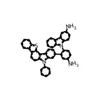 Nc1ccc(-n2c3ccccc3c3cc(N)ccc32)c(-c2ccc3c4c5sc6ccccc6c5ccc4n(-c4ccccc4)c3c2)c1